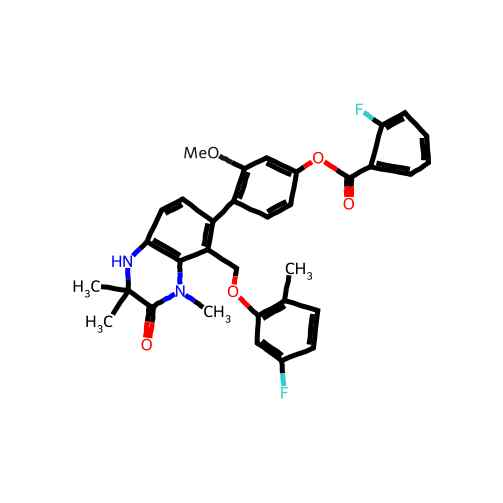 COc1cc(OC(=O)c2ccccc2F)ccc1-c1ccc2c(c1COc1cc(F)ccc1C)N(C)C(=O)C(C)(C)N2